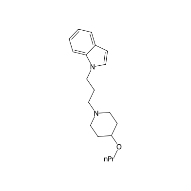 CCCOC1CCN(CCCn2ccc3ccccc32)CC1